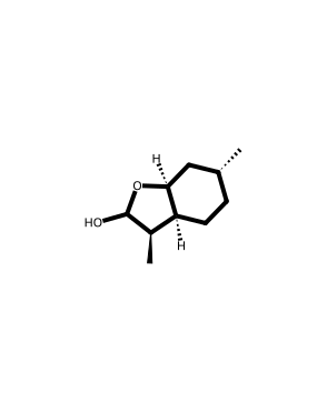 C[C@@H]1CC[C@@H]2[C@H](C1)OC(O)[C@@H]2C